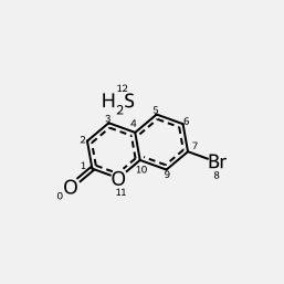 O=c1ccc2ccc(Br)cc2o1.S